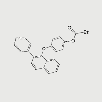 CCC(=O)Oc1ccc(Oc2c(-c3ccccc3)ccc3ccccc23)cc1